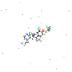 C=Cc1ccnc(Cl)c1CN(C)C(C)c1ccc(OCC(F)(F)F)c(Cl)c1